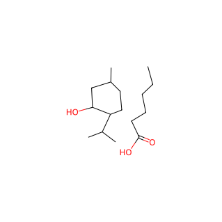 CC1CCC(C(C)C)C(O)C1.CCCCCC(=O)O